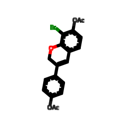 CC(=O)Oc1ccc(C2=Cc3ccc(OC(C)=O)c(Br)c3OC2)cc1